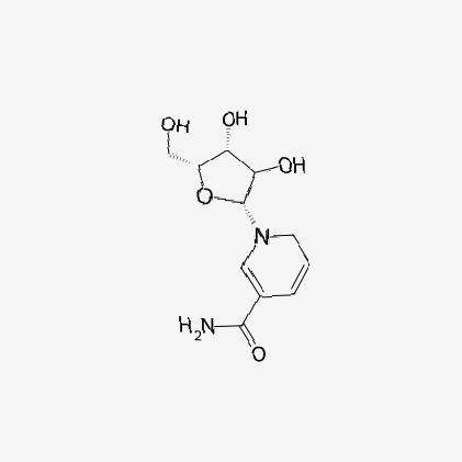 NC(=O)C1=CN([C@@H]2O[C@H](CO)[C@H](O)C2O)CC=C1